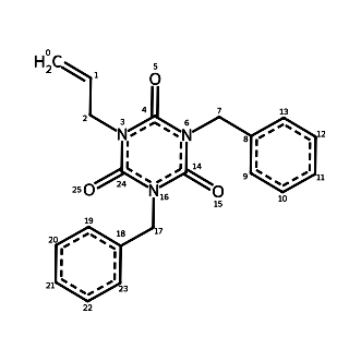 C=CCn1c(=O)n(Cc2ccccc2)c(=O)n(Cc2ccccc2)c1=O